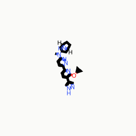 CN(c1ccc(-c2ccc(-c3cn[nH]c3)c(OC3CC3)n2)nn1)[C@@H]1C[C@H]2CC[C@@H](C1)N2